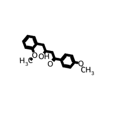 COc1ccc(C(=O)CC(O)Cc2ccccc2OC)cc1